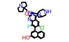 N#CC1CC2CNCC1N2c1nc(OCC23CCCN2CCC3)nc2c(F)c(-c3cc(O)cc4ccccc34)c(Cl)cc12